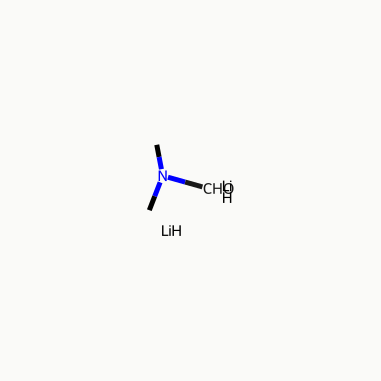 CN(C)C=O.[LiH].[LiH]